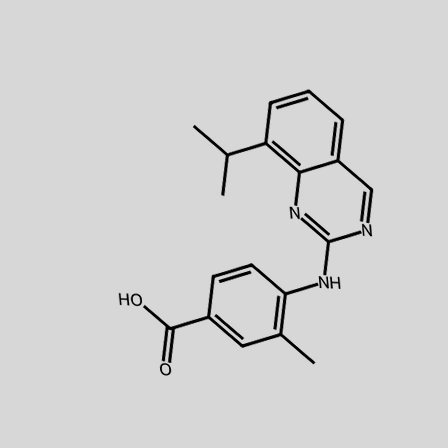 Cc1cc(C(=O)O)ccc1Nc1ncc2cccc(C(C)C)c2n1